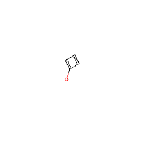 [O]C1=CC=C1